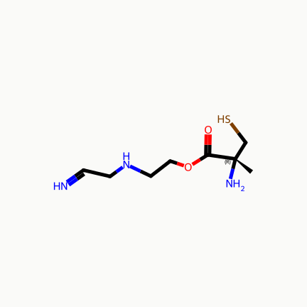 C[C@](N)(CS)C(=O)OCCNCC=N